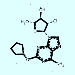 C[C@H]1O[C@@H](n2cnc3c(N)nc(OC4CCCC4)nc32)[C@@H](Cl)[C@@H]1O